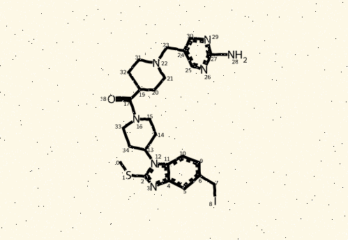 CSc1nc2cc(CI)ccc2n1C1CCN(C(=O)C2CCN(Cc3cnc(N)nc3)CC2)CC1